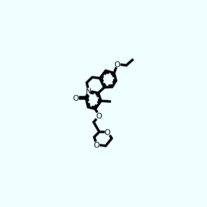 CCOc1ccc2c(c1)CCn1c-2c(C)c(OCC2COCCO2)cc1=O